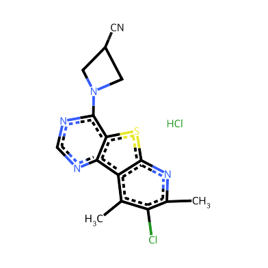 Cc1nc2sc3c(N4CC(C#N)C4)ncnc3c2c(C)c1Cl.Cl